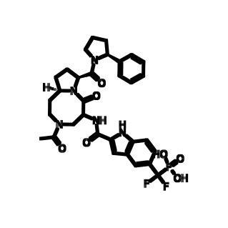 CC(=O)N1CC[C@H]2CC[C@@H](C(=O)N3CCC[C@H]3c3ccccc3)N2C(=O)C(NC(=O)c2cc3cc(C(F)(F)P(=O)(O)O)ccc3[nH]2)C1